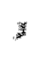 CCCn1c(CF)nc2nc(-c3cnn(Cc4ccnc(C(F)(F)F)c4)c3)[nH]c2c1=O